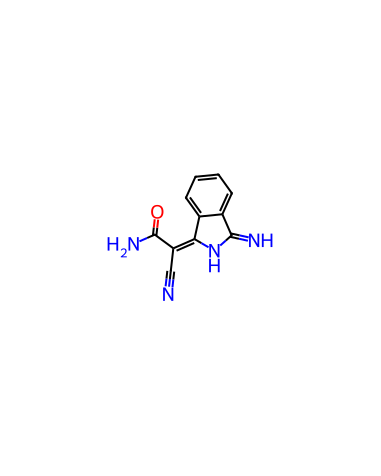 N#CC(C(N)=O)=C1NC(=N)c2ccccc21